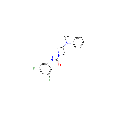 CCCN(c1ccccc1)C1CN(C(=O)Nc2cc(F)cc(F)c2)C1